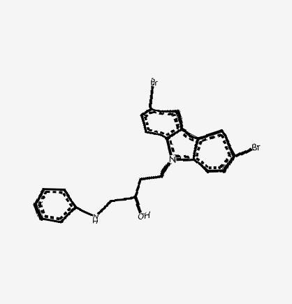 OC(CCn1c2ccc(Br)cc2c2cc(Br)ccc21)CNc1ccccc1